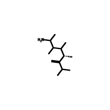 C=C(C(C)C)[C@@H](C)C(C)C(C)C(C)N